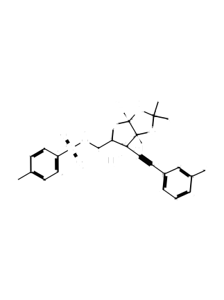 Cc1ccc(S(=O)(=O)OCC2O[C@@H]3OC(C)(C)O[C@@H]3[C@@]2(O)C#Cc2cccc(C)c2)cc1